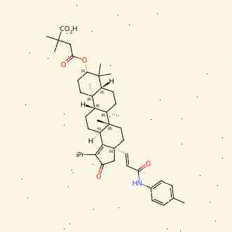 Cc1ccc(NC(=O)C=C[C@@]23CC[C@]4(C)[C@H](CC[C@@H]5[C@@]6(C)CC[C@H](OC(=O)CC(C)(C)C(=O)O)C(C)(C)[C@@H]6CC[C@]54C)C2=C(C(C)C)C(=O)C3)cc1